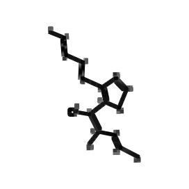 CC=CC=CC1=C([C]([Cr])=C(C)C=CC)CC=C1